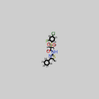 Cc1sc(NC(=O)C(C)(C)S(=O)(=O)c2ccc(Cl)cc2F)nc1-c1ccccc1